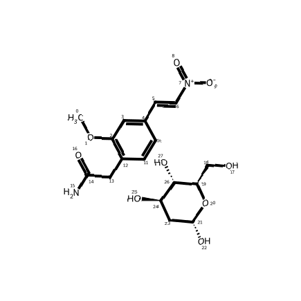 COc1cc(C=C[N+](=O)[O-])ccc1CC(N)=O.OC[C@H]1O[C@H](O)C[C@@H](O)[C@@H]1O